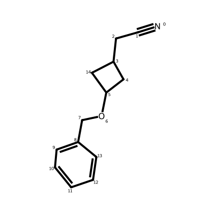 N#CCC1CC(OCc2ccccc2)C1